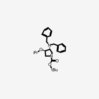 CC(C)O[C@@H]1CN(C(=O)OC(C)(C)C)C[C@H]1N(Cc1ccccc1)Cc1ccccc1